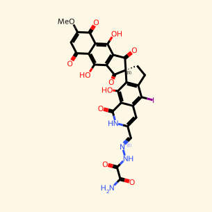 COC1=CC(=O)c2c(O)c3c(c(O)c2C1=O)C(=O)[C@]1(CCc2c1c(O)c1c(=O)[nH]c(/C=N/NC(=O)C(N)=O)cc1c2I)C3=O